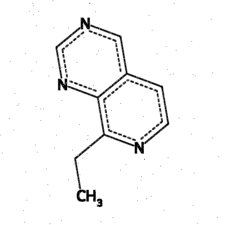 CCc1nccc2cncnc12